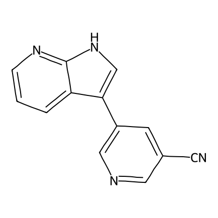 N#Cc1cncc(-c2c[nH]c3ncccc23)c1